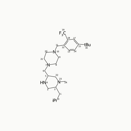 CC(C)CC1CNC(CN2CCN(Cc3ccc(C(C)(C)C)cc3C(F)(F)F)CC2)CN1C